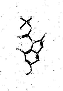 COc1cc(Br)c2c(c1)cc(I)n2C(=O)OC(C)(C)C